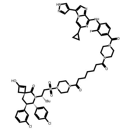 CC(C)(C)[C@@H](CS(=O)(=O)N1CCN(C(=O)CCCCCC(=O)N2CCN(C(=O)c3ccc(Nc4nc(C5CC5)cn5c(-c6cn[nH]c6)cnc45)c(F)c3)CC2)CC1)N1C(=O)[C@]2(C=C(O)C2)C[C@H](c2cccc(Cl)c2)[C@H]1c1ccc(Cl)cc1